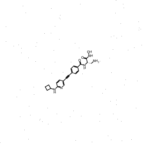 NC[C@H](NC(=O)c1ccc(C#Cc2ccc(NC3CCC3)nc2)cc1)C(=O)NO